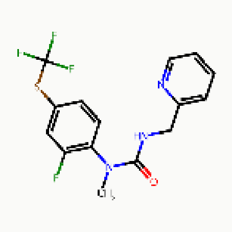 CN(C(=O)NCc1ccccn1)c1ccc(SC(F)(F)F)cc1F